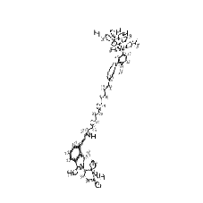 C[C@@H](NC(=O)OC(C)(C)C)c1cccc(OCCCCCOCCCOCCNc2cccc3c2CN(C2CCC(=O)NC2=O)C3O)c1